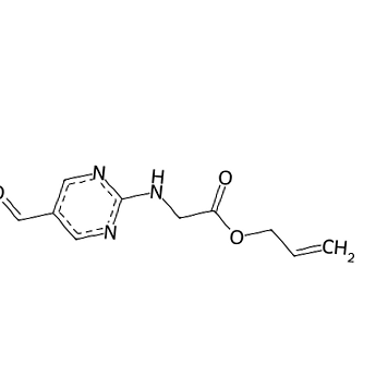 C=CCOC(=O)CNc1ncc(C=O)cn1